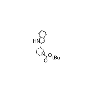 CC(C)(C)OC(=O)N1CCCC(c2cc3ccccc3[nH]2)C1